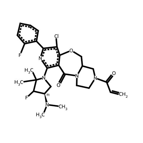 C=CC(=O)N1CCN2C(=O)c3c(N4C[C@@H](N(C)C)C(F)C4(C)C)nc(-c4ccccc4F)c(Cl)c3OCC2C1